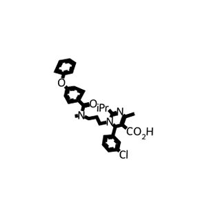 CC1=C(C(=O)O)C(c2cccc(Cl)c2)N(CCCN(C)C(=O)c2ccc(Oc3ccccc3)cc2)C(C(C)C)=N1